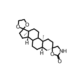 C[C@]12CCC3C(CC[C@H]4C[C@]5(CC[C@]34C)CNC(=O)O5)[C@@H]1CCC21OCCO1